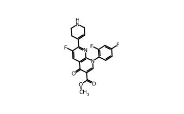 COC(=O)c1cn(-c2ccc(F)cc2F)c2nc(C3=CCNCC3)c(F)cc2c1=O